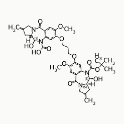 C=C1C[C@H]2[C@H](O)N(C(=O)O)c3cc(OCCCOc4cc5c(cc4OC)C(=O)N4CC(=C)C[C@H]4[C@H](O)N5C(=O)OC(C)(C)C)c(OC)cc3C(=O)N2C1